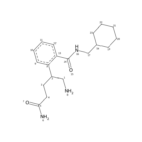 NCC(CCC(N)=O)c1ccccc1C(=O)NCC1CCCCC1